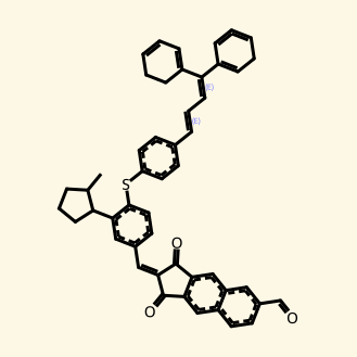 CC1CCCC1c1cc(C=C2C(=O)c3cc4ccc(C=O)cc4cc3C2=O)ccc1Sc1ccc(/C=C/C=C(/C2=CCC=C=C2)C2=CC=CCC2)cc1